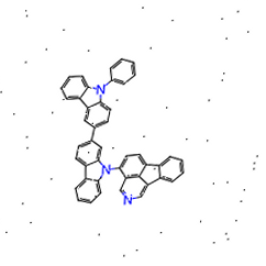 c1ccc(-n2c3ccccc3c3cc(-c4ccc5c6ccccc6n(-c6ccc7c8c(cncc68)-c6ccccc6-7)c5c4)ccc32)cc1